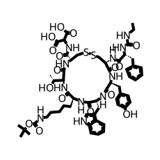 CCNC(=O)N[C@H](Cc1ccccc1)C(=O)N[C@H]1CSSC[C@@H](C(=O)NC(C(=O)O)C(=O)O)NC(=O)[C@H]([C@@H](C)O)NC(=O)[C@H](CCCCCNC(=O)OC(C)(C)C)NC(=O)[C@@H](Cc2c[nH]c3ccccc23)NC(=O)[C@H](Cc2ccc(O)cc2)NC1=O